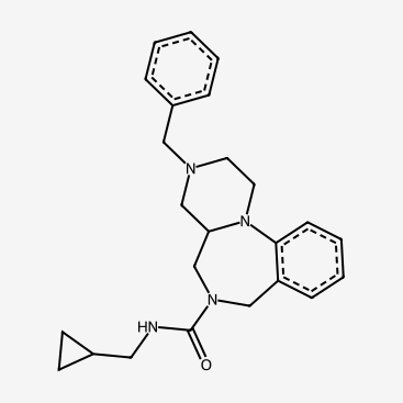 O=C(NCC1CC1)N1Cc2ccccc2N2CCN(Cc3ccccc3)CC2C1